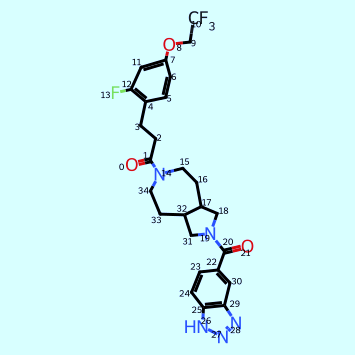 O=C(CCc1ccc(OCC(F)(F)F)cc1F)N1CCC2CN(C(=O)c3ccc4[nH]nnc4c3)CC2CC1